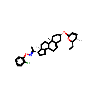 CC[C@H]1OC(O[C@H]2CC[C@@]3(C)C(=CCC4C3CC[C@@]3(C)C4CC[C@@H]3/C(C)=N/Oc3ccccc3Cl)C2)C=C[C@@H]1C